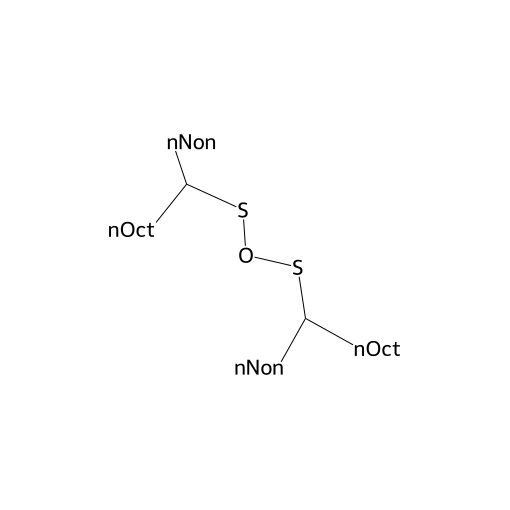 CCCCCCCCCC(CCCCCCCC)SOSC(CCCCCCCC)CCCCCCCCC